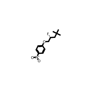 CC(C)(C)C[C@@H](F)COc1ccc([N+](=O)[O-])cc1